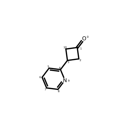 O=C1CC(c2ccccn2)C1